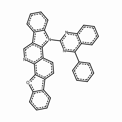 c1ccc(-c2nc(-n3c4ccccc4c4cnc5c(ccc6c7ccccc7oc65)c43)nc3ccccc23)cc1